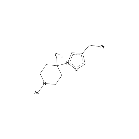 CC(=O)N1CCC(C)(n2cc(CC(C)C)cn2)CC1